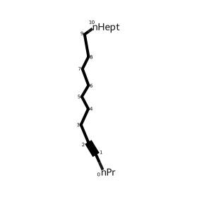 [CH2]CCC#CCCCCCCCCCCCCC[CH2]